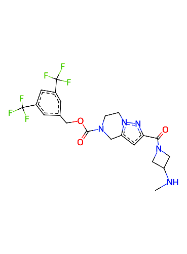 CNC1CN(C(=O)c2cc3n(n2)CCN(C(=O)OCc2cc(C(F)(F)F)cc(C(F)(F)F)c2)C3)C1